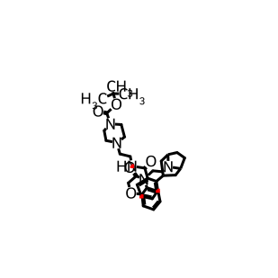 CC(C)(C)OC(=O)N1CCN(CCNC(=O)c2ccccc2C2CC3CCC(C2)N3CCN2C(=O)COc3ccccc32)CC1